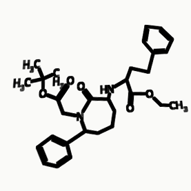 CCOC(=O)C(CCc1ccccc1)NC1CCCC(c2ccccc2)N(CC(=O)OC(C)(C)C)C1=O